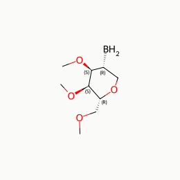 B[C@@H]1CO[C@H](COC)[C@@H](OC)[C@H]1OC